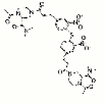 CC(=O)N1CCN(C(=O)/C=C/c2ccc(Sc3ccc(/C=C/C(=O)N4CCN(C(C)=O)C(C(=O)N(C)C)C4)cc3[N+](=O)[O-])c([N+](=O)[O-])c2)CC1C(=O)N(C)C